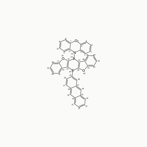 c1ccc2c(c1)Oc1ccccc1N2B1c2oc3ccccc3c2B(c2ccc3cc4ccccc4cc3c2)c2oc3ccccc3c21